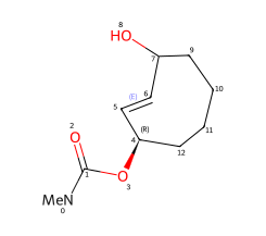 CNC(=O)O[C@H]1/C=C/C(O)CCCC1